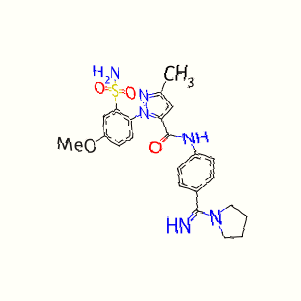 COc1ccc(-n2nc(C)cc2C(=O)Nc2ccc(C(=N)N3CCCC3)cc2)c(S(N)(=O)=O)c1